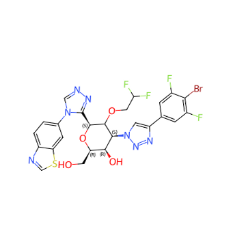 OC[C@H]1O[C@@H](c2nncn2-c2ccc3ncsc3c2)C(OCC(F)F)[C@@H](n2cc(-c3cc(F)c(Br)c(F)c3)nn2)[C@H]1O